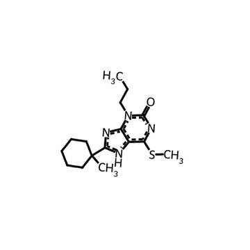 CCCn1c(=O)nc(SC)c2[nH]c(C3(C)CCCCC3)nc21